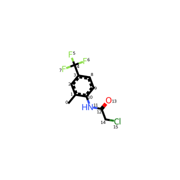 Cc1cc(C(F)(F)F)ccc1NC(=O)CCl